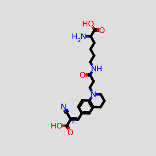 N#C/C(=C\c1ccc2c(c1)CCCN2CCC(=O)NCCCCC(N)C(=O)O)C(=O)O